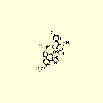 CCN1CCCC1Cn1c(NS(=O)(=O)[C@@H](C)[C@H](OC)c2ncc(Cl)cn2)nnc1-c1cccc(OC)n1